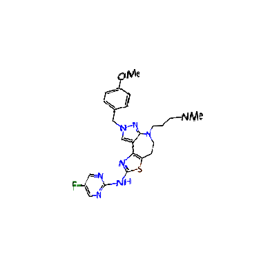 CNCCCN1CCc2sc(Nc3ncc(F)cn3)nc2-c2cn(Cc3ccc(OC)cc3)nc21